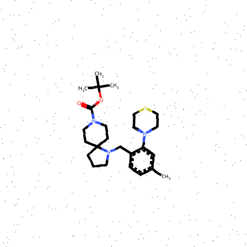 Cc1ccc(CN2CCCC23CCN(C(=O)OC(C)(C)C)CC3)c(N2CCSCC2)c1